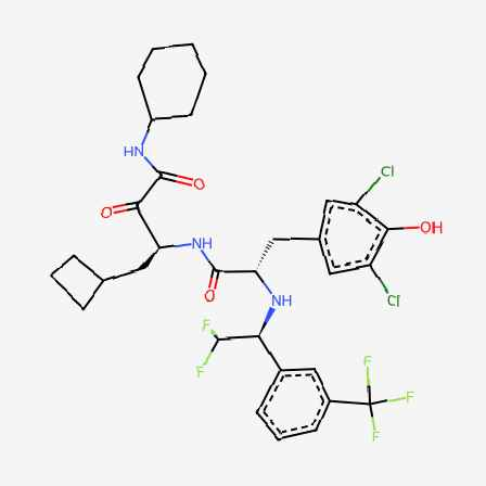 O=C(NC1CCCCC1)C(=O)[C@H](CC1CCC1)NC(=O)[C@H](Cc1cc(Cl)c(O)c(Cl)c1)N[C@@H](c1cccc(C(F)(F)F)c1)C(F)F